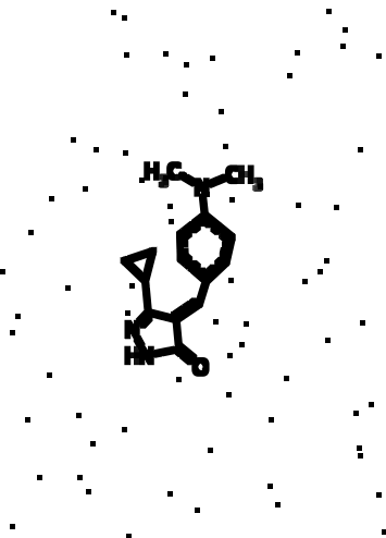 CN(C)c1ccc(C=C2C(=O)NN=C2C2CC2)cc1